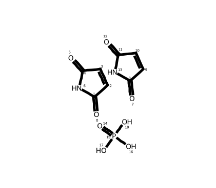 O=C1C=CC(=O)N1.O=C1C=CC(=O)N1.O=P(O)(O)O